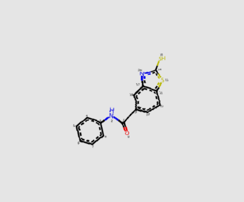 O=C(Nc1ccccc1)c1ccc2sc(S)nc2c1